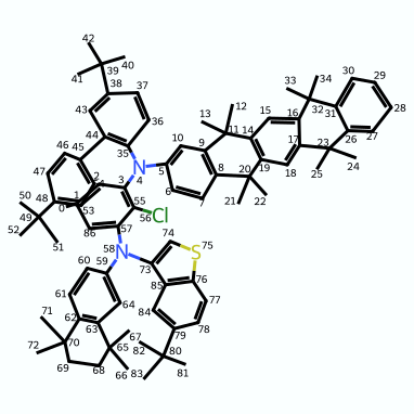 Cc1cc(N(c2ccc3c(c2)C(C)(C)c2cc4c(cc2C3(C)C)C(C)(C)c2ccccc2C4(C)C)c2ccc(C(C)(C)C)cc2-c2ccc(C(C)(C)C)cc2)c(Cl)c(N(c2ccc3c(c2)C(C)(C)CCC3(C)C)c2csc3ccc(C(C)(C)C)cc23)c1